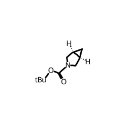 CC(C)(C)OC(=O)N1C[C@H]2C[C@H]2C1